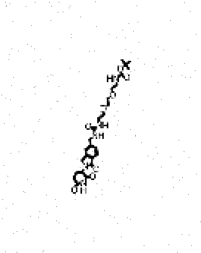 CC(C)(C)OC(=O)NCCOCCOCCNC(=O)NCc1ccc2c(c1)CN(C1CCC(=O)NC1=O)C2=O